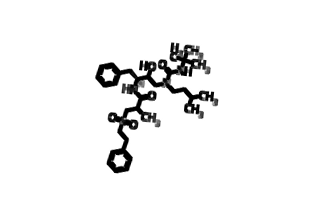 CC(C)CCN(CC(O)[C@H](Cc1ccccc1)NC(=O)C(C)CS(=O)(=O)CCc1ccccc1)C(=O)NC(C)(C)C